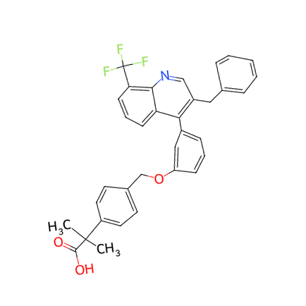 CC(C)(C(=O)O)c1ccc(COc2cccc(-c3c(Cc4ccccc4)cnc4c(C(F)(F)F)cccc34)c2)cc1